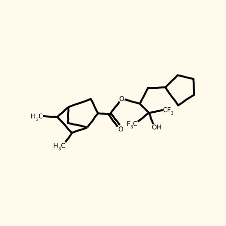 CC1C2CC(C(=O)OC(CC3CCCC3)C(O)(C(F)(F)F)C(F)(F)F)C(C2)C1C